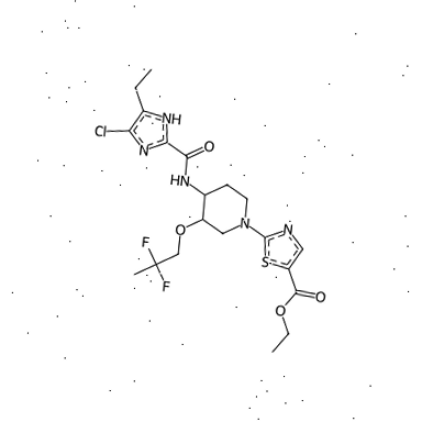 CCOC(=O)c1cnc(N2CCC(NC(=O)c3nc(Cl)c(CC)[nH]3)C(OCC(C)(F)F)C2)s1